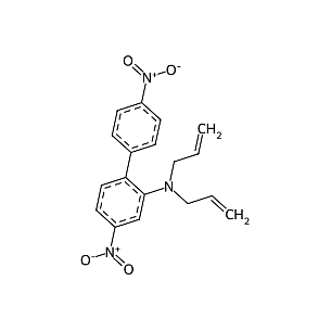 C=CCN(CC=C)c1cc([N+](=O)[O-])ccc1-c1ccc([N+](=O)[O-])cc1